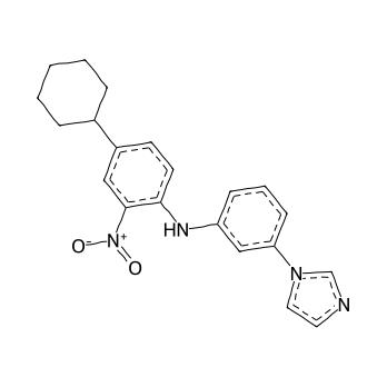 O=[N+]([O-])c1cc(C2CCCCC2)ccc1Nc1cccc(-n2ccnc2)c1